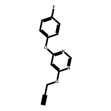 C#CCOc1cc(Oc2ccc(F)cc2)ncn1